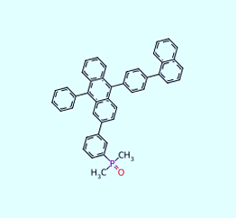 CP(C)(=O)c1cccc(-c2ccc3c(-c4ccc(-c5cccc6ccccc56)cc4)c4ccccc4c(-c4ccccc4)c3c2)c1